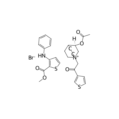 CC(=O)O[C@H]1C[N+]2(CC(=O)c3ccsc3)CCC1CC2.COC(=O)c1sccc1Nc1ccccc1.[Br-]